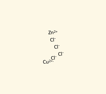 [Cl-].[Cl-].[Cl-].[Cl-].[Cu+2].[Zn+2]